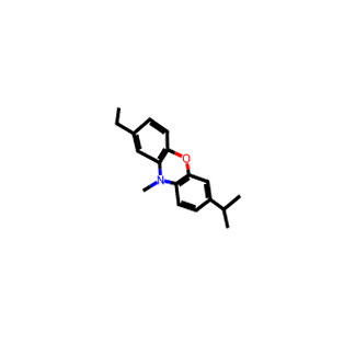 CCc1ccc2c(c1)N(C)c1ccc(C(C)C)cc1O2